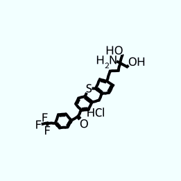 Cl.NC(CO)(CO)CCc1ccc2c(c1)Sc1ccc(C(=O)c3ccc(C(F)(F)F)cc3)cc1C2